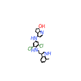 Cc1cccc2c(CCNc3c(Cl)cc(Nc4ccnc5c4CCC5O)cc3Cl)c[nH]c12